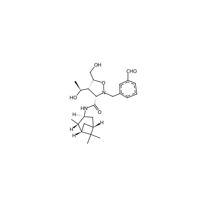 C[C@@H]1[C@@H](NC(=O)[C@@H]2[C@H]([C@H](C)O)C(CO)ON2Cc2cccc(C=O)c2)C[C@H]2C[C@@H]1C2(C)C